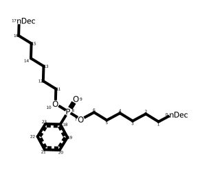 CCCCCCCCCCCCCCCCOP(=O)(OCCCCCCCCCCCCCCCC)c1ccccc1